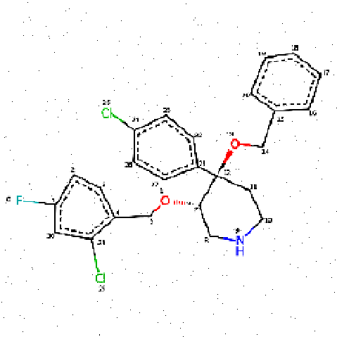 Fc1ccc(CO[C@H]2CNCC[C@@]2(OCc2ccccc2)c2ccc(Cl)cc2)c(Cl)c1